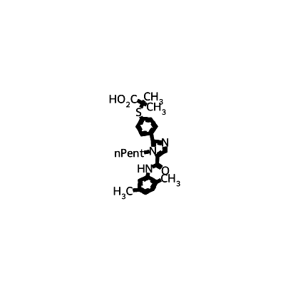 CCCCCn1c(C(=O)Nc2cc(C)ccc2C)cnc1-c1ccc(SC(C)(C)C(=O)O)cc1